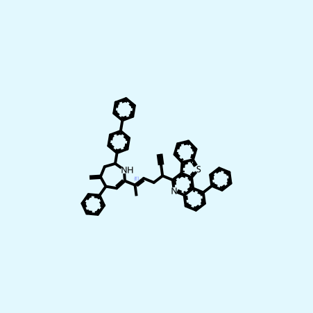 C#CC(C/C=C(\C)C1=CC(c2ccccc2)C(=C)CC(c2ccc(-c3ccccc3)cc2)N1)c1nc2cccc(-c3ccccc3)c2c2sc3ccccc3c12